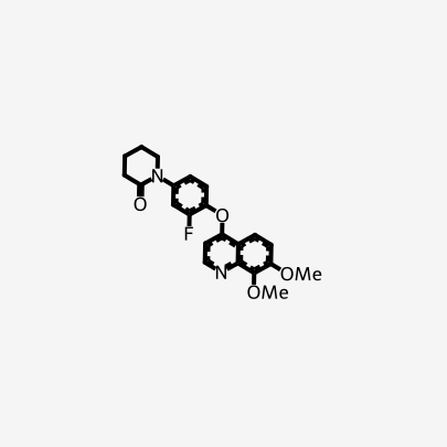 COc1ccc2c(Oc3ccc(N4CCCCC4=O)cc3F)ccnc2c1OC